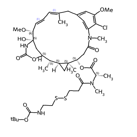 COc1cc2cc(c1Cl)N(C)C(=O)C[C@H](OC(=O)[C@H](C)N(C)C(=O)CCSSCCNC(=O)OC(C)(C)C)[C@@]1(C)C[C@H]1[C@H](C)[C@@H]1C[C@@](O)(NC(=O)O1)[C@H](OC)/C=C/C=C(\C)C2